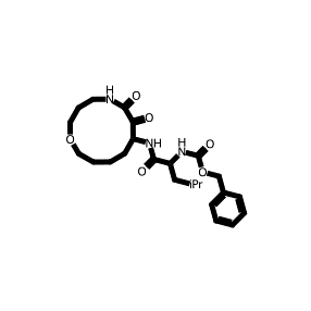 CC(C)CC(NC(=O)OCc1ccccc1)C(=O)NC1CCCCOCCCNC(=O)C1=O